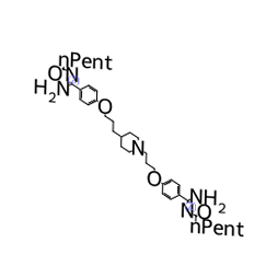 CCCCCC(=O)/N=C(\N)c1ccc(OCCCC2CCN(CCCOc3ccc(/C(N)=N/C(=O)CCCCC)cc3)CC2)cc1